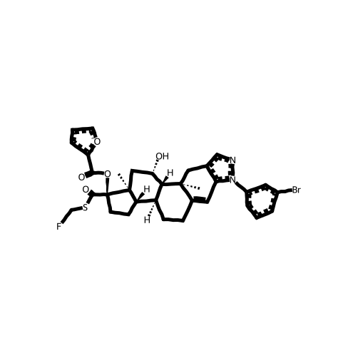 C[C@]12Cc3cnn(-c4cccc(Br)c4)c3C=C1CC[C@@H]1[C@@H]2[C@@H](O)C[C@@]2(C)[C@H]1CC[C@]2(OC(=O)c1ccco1)C(=O)SCF